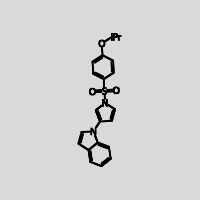 CC(C)Oc1ccc(S(=O)(=O)n2ccc(-n3ccc4ccccc43)c2)cc1